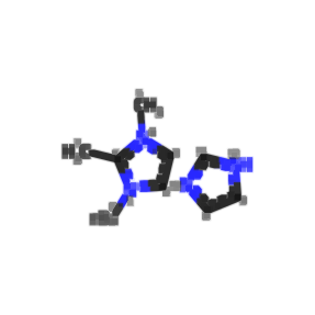 CCCC[n+]1ccn(C)c1C.c1c[nH]cn1